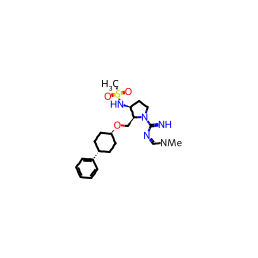 CN/C=N\C(=N)N1CC[C@H](NS(C)(=O)=O)[C@@H]1CO[C@H]1CC[C@@H](c2ccccc2)CC1